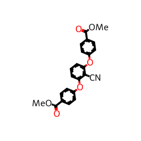 COC(=O)c1ccc(Oc2cccc(Oc3ccc(C(=O)OC)cc3)c2C#N)cc1